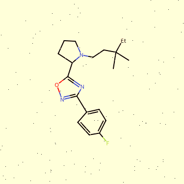 CCC(C)(C)CCN1CCCC1c1nc(-c2ccc(F)cc2)no1